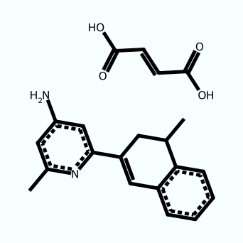 Cc1cc(N)cc(C2=Cc3ccccc3C(C)C2)n1.O=C(O)/C=C/C(=O)O